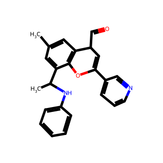 Cc1cc2c(c(C(C)Nc3ccccc3)c1)OC(c1cccnc1)=CC2C=O